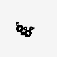 COC1CCCC[C@H]1Oc1cc(F)ccc1N